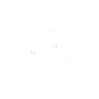 C\C=C(P)/C=N\C(=C(/C)CC)N(C)C(C)=O